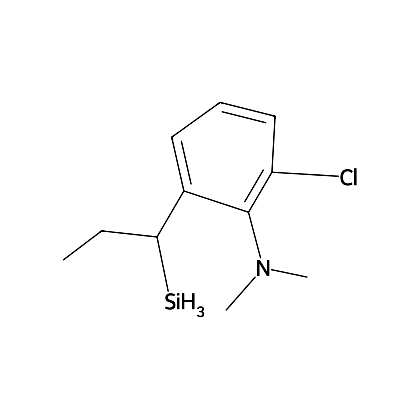 CCC([SiH3])c1cccc(Cl)c1N(C)C